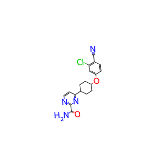 N#Cc1ccc(OC2CCC(c3ccnc(C(N)=O)n3)CC2)cc1Cl